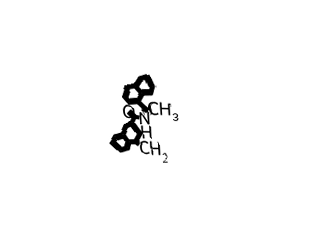 C=C1C=C(C(=O)N[C@H](C)c2cccc3ccccc23)Cc2ccccc21